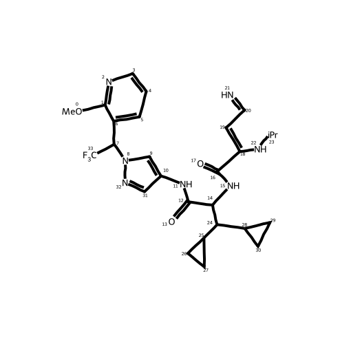 COc1ncccc1C(n1cc(NC(=O)C(NC(=O)/C(=C/C=N)NC(C)C)C(C2CC2)C2CC2)cn1)C(F)(F)F